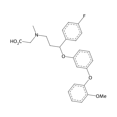 COc1ccccc1Oc1cccc(OC(CCN(C)CC(=O)O)c2ccc(F)cc2)c1